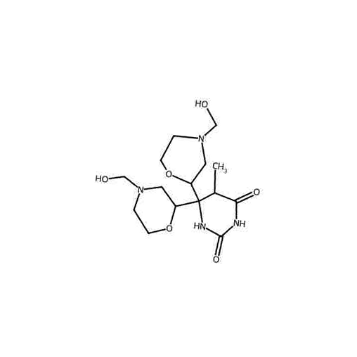 CC1C(=O)NC(=O)NC1(C1CN(CO)CCO1)C1CN(CO)CCO1